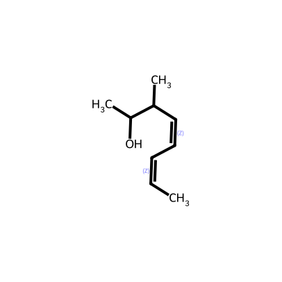 C/C=C\C=C/C(C)C(C)O